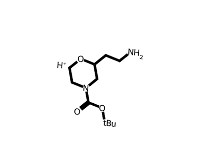 CC(C)(C)OC(=O)N1CCOC(CCN)C1.[H+]